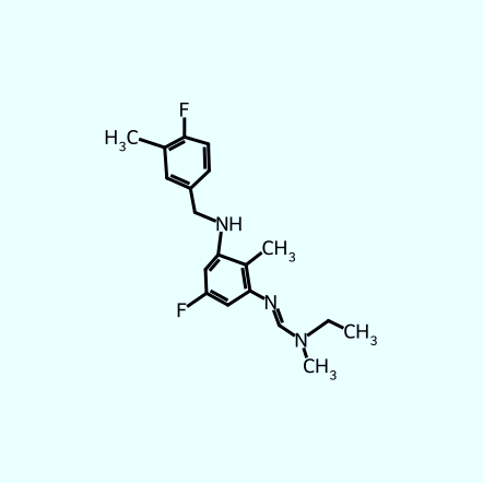 CCN(C)C=Nc1cc(F)cc(NCc2ccc(F)c(C)c2)c1C